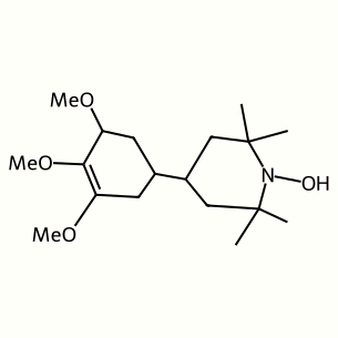 COC1=C(OC)C(OC)CC(C2CC(C)(C)N(O)C(C)(C)C2)C1